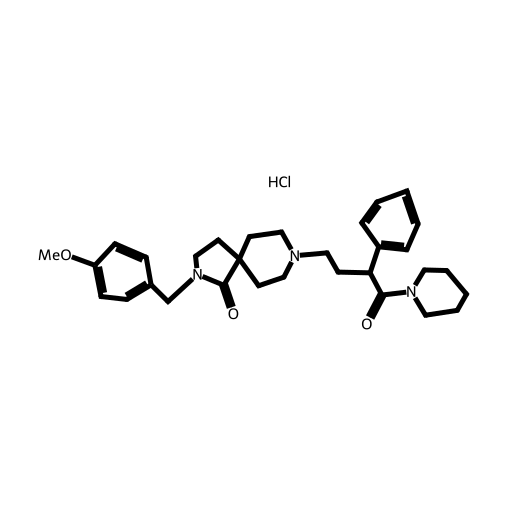 COc1ccc(CN2CCC3(CCN(CCC(C(=O)N4CCCCC4)c4ccccc4)CC3)C2=O)cc1.Cl